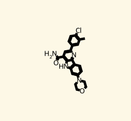 Cc1cc(-c2cc(C(N)=O)c3[nH]c4cc(N5CCOCC5)ccc4c3n2)ccc1Cl